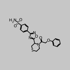 NS(=O)(=O)c1ccc(-c2noc(C3CSCCN3C(=O)COc3ccccc3)n2)cc1